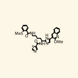 COc1nc2ccccc2cc1-c1cnc(C(CCCCNC(=O)c2ccccc2SC)NC(=O)c2cncs2)[nH]1